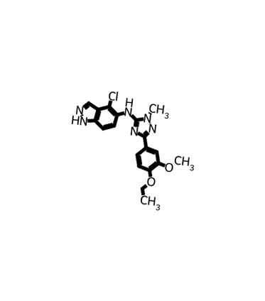 CCOc1ccc(-c2nc(Nc3ccc4[nH]ncc4c3Cl)n(C)n2)cc1OC